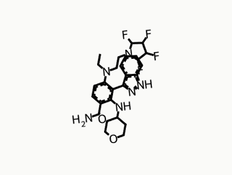 CCN(CCN1C(F)C(F)C(F)C1F)c1ccc(C(N)=O)c(NC2CCOCC2)c1-c1n[nH]c2ccccc12